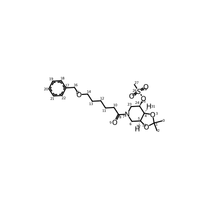 CC1(C)O[C@H]2[C@H](CN(C(=O)CCCCCOCc3ccccc3)C[C@H]2OS(C)(=O)=O)O1